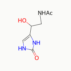 CC(=O)NCC(O)c1c[nH]c(=O)[nH]1